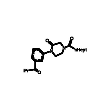 CCCCCCCC(=O)N1CCN(c2cccc(C(=O)C(C)C)c2)C(=O)C1